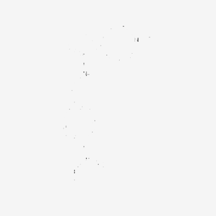 COC(=O)c1ccc(CN2C[C@@H]3CN(C)CC[C@]3(F)C2=O)cc1